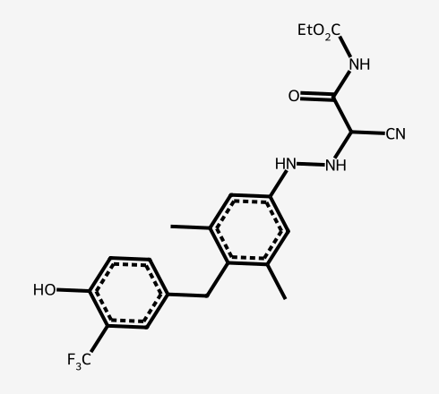 CCOC(=O)NC(=O)C(C#N)NNc1cc(C)c(Cc2ccc(O)c(C(F)(F)F)c2)c(C)c1